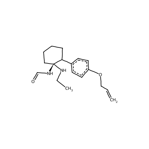 C=CCOc1ccc(C2CCCC[C@@]2(NC=O)NCC)cc1